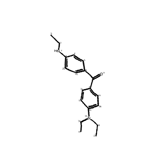 CCNc1ccc(C(=O)c2ccc(N(CC)CC)cc2)cc1